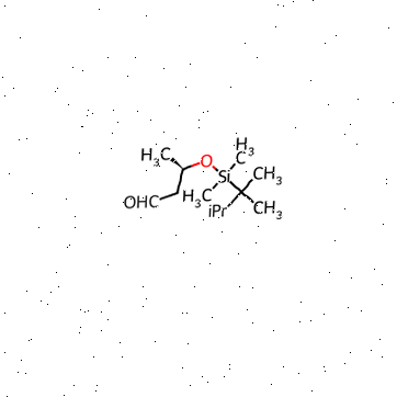 CC(C)C(C)(C)[Si](C)(C)O[C@H](C)CC=O